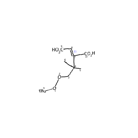 CC(C)(C)OOCC(C)(C)/C(=C\C(=O)O)C(=O)O